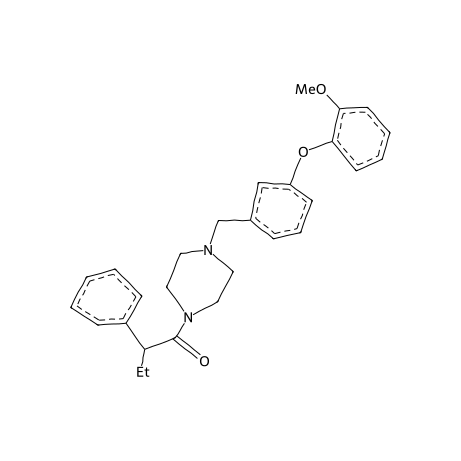 CCC(C(=O)N1CCN(Cc2cccc(Oc3ccccc3OC)c2)CC1)c1ccccc1